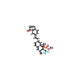 CCOP(=O)(OCC)C(F)(F)c1cc2cc(/C=C/c3cccc(C(=O)OC)c3)ccc2cc1Br